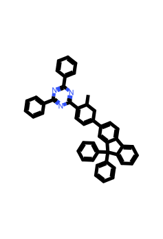 CC1CC(c2ccc3c(c2)C(c2ccccc2)(c2ccccc2)c2ccccc2-3)=CC=C1c1nc(-c2ccccc2)nc(-c2ccccc2)n1